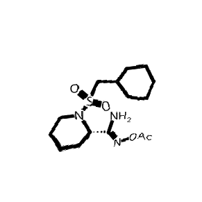 CC(=O)O/N=C(\N)[C@@H]1CCCCN1S(=O)(=O)CC1CCCCC1